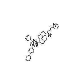 C=N/C(=C\C=C(/C)c1ccccn1)c1ccc2ccc3c(-c4nc(-c5ccccc5)nc(-c5ccc(-c6ccccc6)cc5)n4)ccc4ccc1c2c43